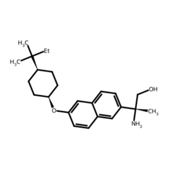 CCC(C)(C)[C@H]1CC[C@@H](Oc2ccc3cc([C@@](C)(N)CO)ccc3c2)CC1